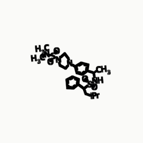 CC(C)CC(c1ccccc1)S(=O)(=O)N[C@H](C)c1ccc(N2CCN(S(=O)(=O)N(C)C)CC2)cc1